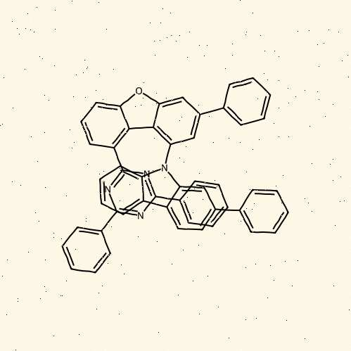 c1ccc(-c2cc(-n3c4ccccc4c4ccc(-c5ccccc5)cc43)c3c(c2)oc2cccc(-c4nc(-c5ccccc5)nc(-c5ccccc5)n4)c23)cc1